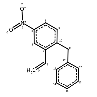 C=Cc1cc([N+](=O)[O-])ccc1Cc1ccccc1